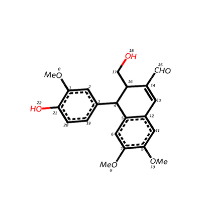 COc1cc(C2c3cc(OC)c(OC)cc3C=C(C=O)C2CO)ccc1O